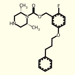 C[C@@H]1CNC[C@H](C)N1C(=O)OCc1cc(OCCCc2ccccc2)ccc1F